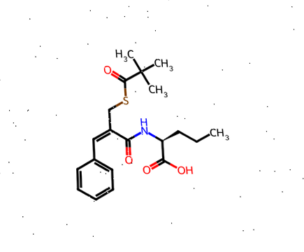 CCC[C@H](NC(=O)/C(=C\c1ccccc1)CSC(=O)C(C)(C)C)C(=O)O